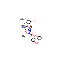 COc1cc(O)c2c3c1C[C@@H]1[C@@H]4CC[C@H](NN(C(=O)CC(C)C)[C@@H](Cc5ccc(O)cc5)C(=O)OCc5ccccc5)[C@H](O2)[C@]34CCN1C